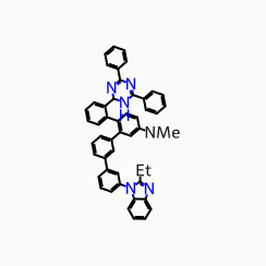 CCc1nc2ccccc2n1-c1cccc(-c2cccc(-c3cc(NC)ccc3-c3ccccc3C3N=C(c4ccccc4)N=C(c4ccccc4)N3)c2)c1